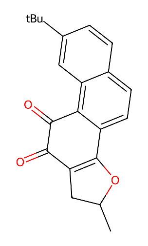 CC1CC2=C(O1)c1ccc3ccc(C(C)(C)C)cc3c1C(=O)C2=O